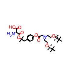 CC(C)(Cc1ccc(OC(=O)CN(CCO[Si](C)(C)C(C)(C)C)CCO[Si](C)(C)C(C)(C)C)cc1)OC(=O)[C@H](N)C(=O)O